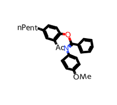 CCCCCc1ccc(OC(=Nc2ccc(OC)cc2)c2ccccc2)c(C(C)=O)c1